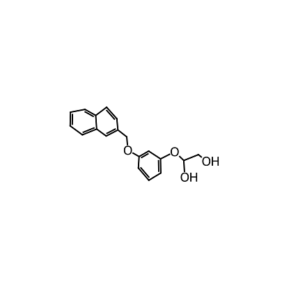 OCC(O)Oc1cccc(OCc2ccc3ccccc3c2)c1